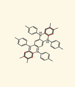 Cc1ccc([SiH](c2ccc(C)cc2)c2cc([SiH](c3ccc(C)cc3)c3ccc(C)cc3)c([SiH](c3ccc(C)cc3)c3ccc(C)cc3)cc2[SiH](c2ccc(C)cc2)c2ccc(C)cc2)cc1